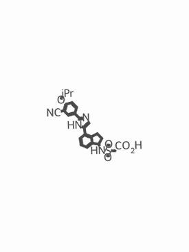 CC(C)Oc1ccc(-c2ncc(-c3cccc4c3CCC4NS(=O)(=O)CC(=O)O)[nH]2)cc1C#N